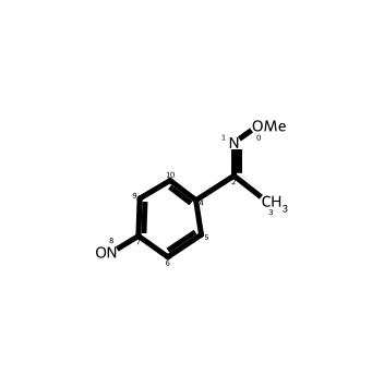 CON=C(C)c1ccc(N=O)cc1